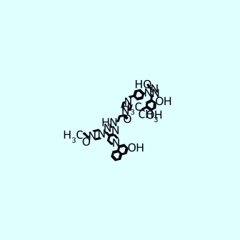 CCC(=O)N1CCN(c2nc(NCCC(=O)N3CCN(Cc4ccc(-n5c(O)nnc5-c5cc(C(C)C)c(O)cc5O)cc4)CC3)nc3c2CCN(c2cc(O)cc4ccccc24)C3)CC1